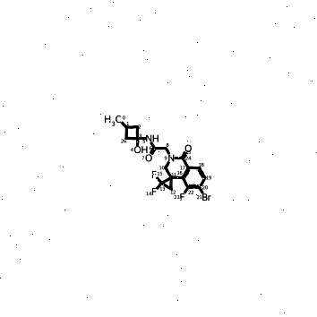 CC1CC(O)(NC(=O)CN2CC3(CC3(F)F)c3c(ccc(Br)c3F)C2=O)C1